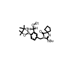 [2H]C([2H])(OCC)c1cc(CN2C(=O)C3(CCCC3)N=C2CCCC)ccc1B1OC(C)(C)C(C)(C)O1